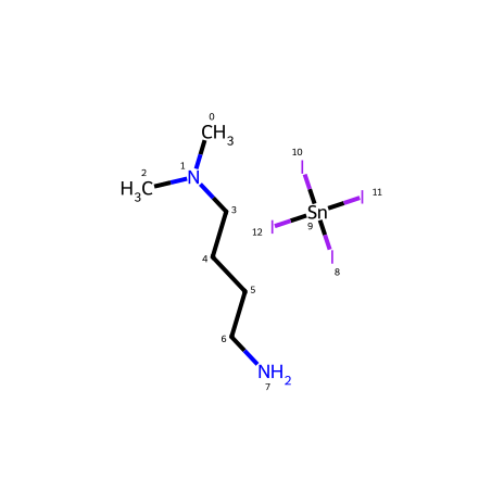 CN(C)CCCCN.[I][Sn]([I])([I])[I]